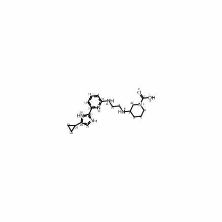 O=C(O)N1CCCC(NCCNc2cccc(-c3ncc(C4CC4)[nH]3)n2)C1